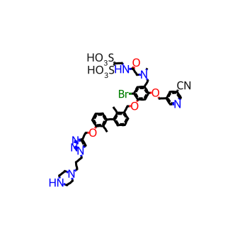 Cc1c(COc2cc(OCc3cncc(C#N)c3)c(CN(C)CC(=O)NCC(S(=O)(=O)O)S(=O)(=O)O)cc2Br)cccc1-c1cccc(OCc2cn(CCCN3CCNCC3)nn2)c1C